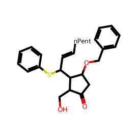 CCCCCC=CC(Sc1ccccc1)C1C(OCc2ccccc2)CC(=O)C1CO